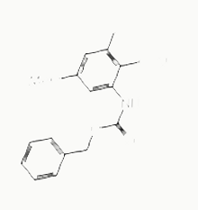 COc1cc(I)c(C=O)c(NC(=O)OCc2ccccc2)c1